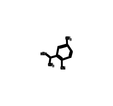 CCCCC(C)c1cc(C)ccc1C#N